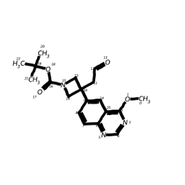 COc1ncnc2ccc(C3(CC=O)CN(C(=O)OC(C)(C)C)C3)cc12